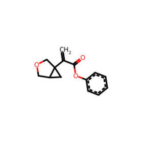 C=C(C(=O)Oc1ccccc1)C12COCC1C2